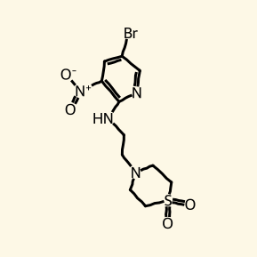 O=[N+]([O-])c1cc(Br)cnc1NCCN1CCS(=O)(=O)CC1